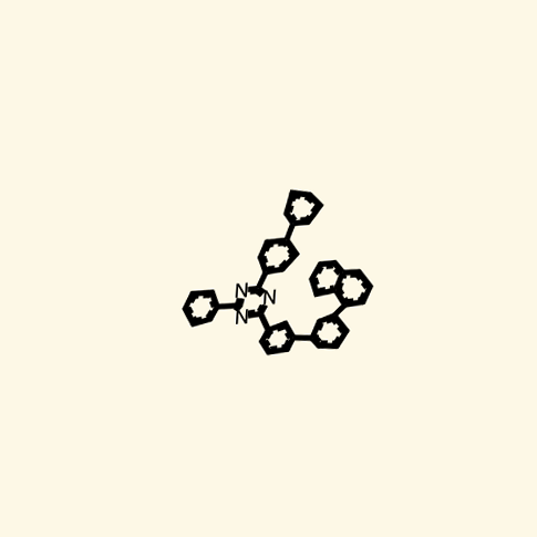 c1ccc(-c2ccc(-c3nc(-c4ccccc4)nc(-c4cccc(-c5cccc(-c6cccc7ccccc67)c5)c4)n3)cc2)cc1